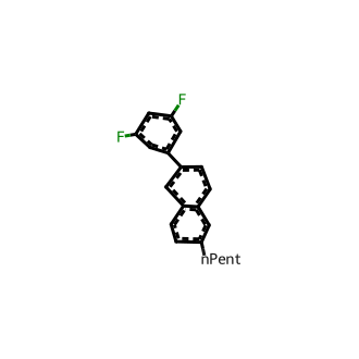 CCCCCc1ccc2cc(-c3cc(F)cc(F)c3)ccc2c1